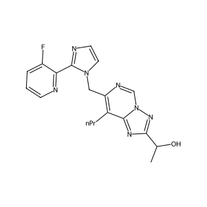 CCCc1c(Cn2ccnc2-c2ncccc2F)ncn2nc(C(C)O)nc12